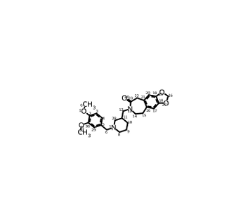 COc1ccc(CN2CCCC(CN3CCc4cc5c(cc4CC3=O)OCO5)C2)cc1OC